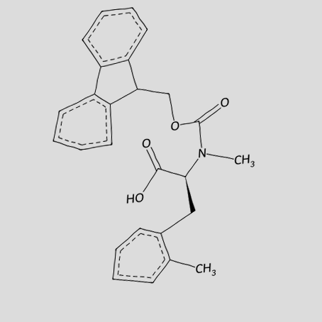 Cc1ccccc1C[C@@H](C(=O)O)N(C)C(=O)OCC1c2ccccc2-c2ccccc21